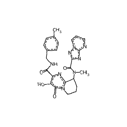 Cc1ccc(CNC(=O)c2nc3n(c(=O)c2O)CCCC3N(C)C(=O)c2nc3ncccn3n2)cc1